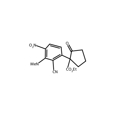 CCOC(=O)C1(c2ccc([N+](=O)[O-])c(NC)c2C#N)CCCC1=O